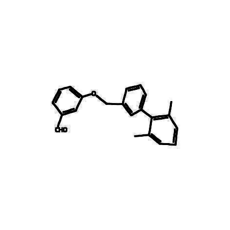 Cc1cccc(C)c1-c1cccc(COc2cccc(C=O)c2)c1